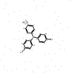 Fc1ccc(P(c2ccccc2)c2ccc(F)cc2)cc1.O